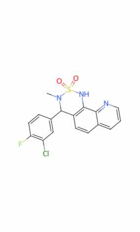 CN1C(c2ccc(F)c(Cl)c2)c2ccc3cccnc3c2NS1(=O)=O